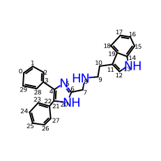 c1ccc(-c2nc(CNCCc3c[nH]c4ccccc34)[nH]c2-c2ccccc2)cc1